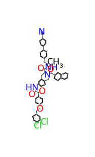 C[C@@H](Cc1ccc(-c2ccc(C#N)cc2)cc1)NC(=O)C1Cc2cc3c(cc2CN1C(=O)c1ccc2ccccc2c1)O[C@@H](c1ccc(OCc2ccc(Cl)c(Cl)c2)cc1)C(=O)N3